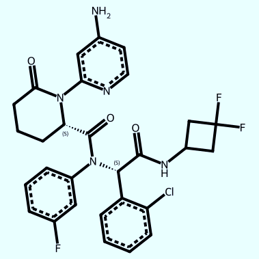 Nc1ccnc(N2C(=O)CCC[C@H]2C(=O)N(c2cccc(F)c2)[C@H](C(=O)NC2CC(F)(F)C2)c2ccccc2Cl)c1